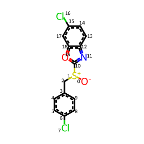 [O-][S+](Cc1ccc(Cl)cc1)c1nc2ccc(Cl)cc2o1